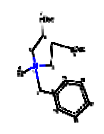 CCCCCCCCCCCC[N+](CC)(CCCCCCCCCCCC)Cc1ccccc1